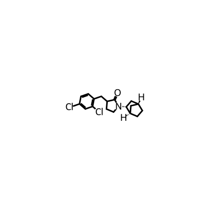 O=C1C(Cc2ccc(Cl)cc2Cl)CCN1[C@@H]1C[C@@H]2CC[C@@H]1C2